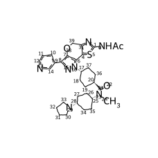 CC(=O)Nc1nc2c(s1)-c1c(c(-c3cccnc3)nn1[C@H]1CC[C@H](C(=O)N(C)[C@H]3CC[C@@H](N4CCCC4)CC3)CC1)OC2